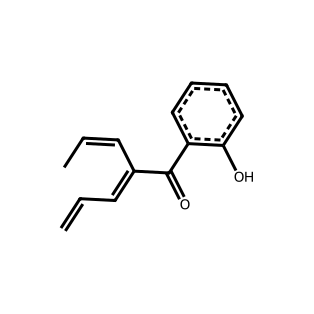 C=C/C=C(\C=C/C)C(=O)c1ccccc1O